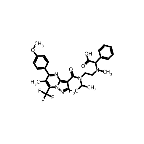 COc1ccc(-c2nc3c(C(=O)N(CCN(C)C(C(=O)O)c4ccccc4)C(C)C)cnn3c(C(F)(F)F)c2C)cc1